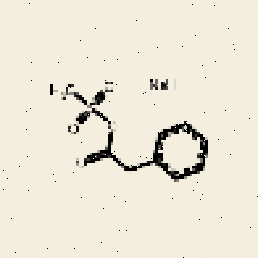 CS(=O)(=O)OC(=O)Cc1ccccc1.[NaH]